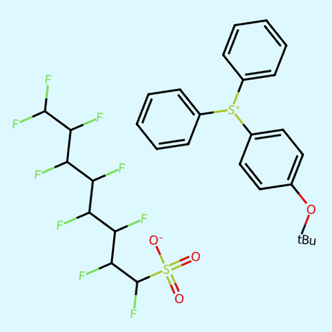 CC(C)(C)Oc1ccc([S+](c2ccccc2)c2ccccc2)cc1.O=S(=O)([O-])C(F)C(F)C(F)C(F)C(F)C(F)C(F)C(F)F